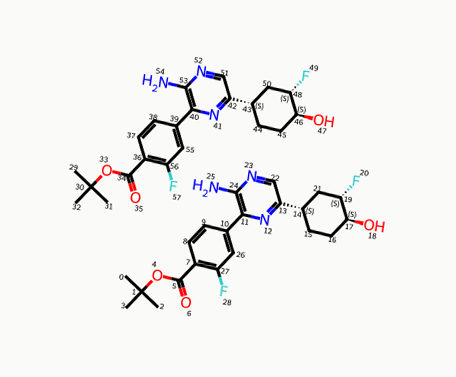 CC(C)(C)OC(=O)c1ccc(-c2nc([C@H]3CC[C@H](O)[C@@H](F)C3)cnc2N)cc1F.CC(C)(C)OC(=O)c1ccc(-c2nc([C@H]3CC[C@H](O)[C@@H](F)C3)cnc2N)cc1F